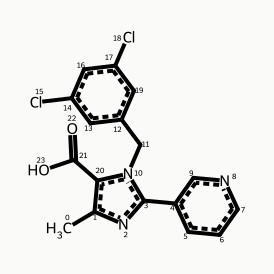 Cc1nc(-c2cccnc2)n(Cc2cc(Cl)cc(Cl)c2)c1C(=O)O